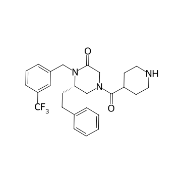 O=C(C1CCNCC1)N1CC(=O)N(Cc2cccc(C(F)(F)F)c2)[C@@H](CCc2ccccc2)C1